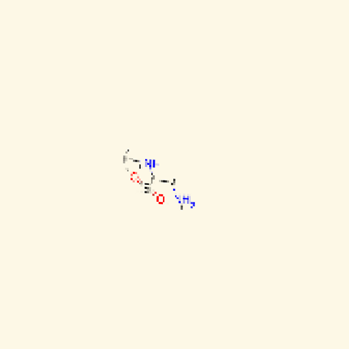 CCNCCN.O=[Si]=O